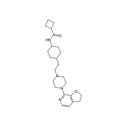 O=C(NC1CCC(CCN2CCN(c3nccc4c3OCC4)CC2)CC1)C1CCC1